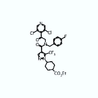 CCOC(=O)C1CCC(n2ncc(C(=O)N(CC(=O)c3c(Cl)cncc3Cl)Cc3ccc(F)cc3)c2C(F)(F)F)CC1